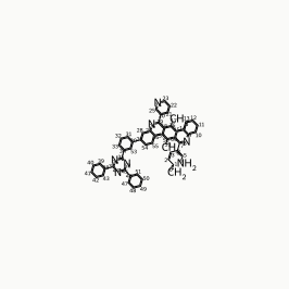 C=C/C=C\C(=C/N)c1nc2ccccc2c2c(C)c3c(-c4cccnc4)nc4cc(-c5cccc(-c6nc(-c7ccccc7)nc(-c7ccccc7)n6)c5)ccc4c3c(C)c12